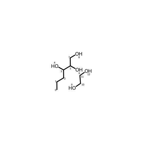 CCCC(O)C(O)CO.OCCO